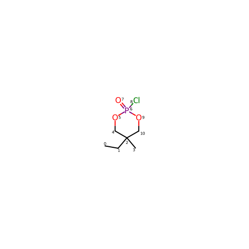 CCC1(C)COP(=O)(Cl)OC1